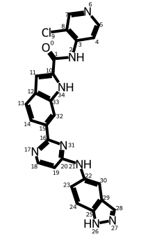 O=C(Nc1ccncc1Cl)c1cc2ccc(-c3nccc(Nc4ccc5[nH]ncc5c4)n3)cc2[nH]1